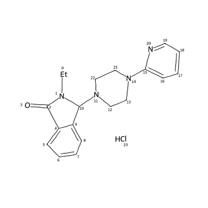 CCN1C(=O)c2ccccc2C1N1CCN(c2ccccn2)CC1.Cl